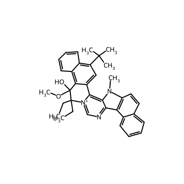 CCC1(CC)[n+]2cnc3c4c5ccccc5ccc4n(C)c3c2-c2cc(C(C)(C)C)c3ccccc3c2C1(O)OC